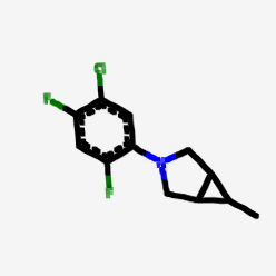 CC1C2CN(c3cc(Cl)c(F)cc3F)CC12